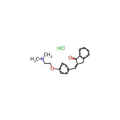 CN(C)CCOc1ccc(C=C2Cc3ccccc3C2=O)cc1.Cl